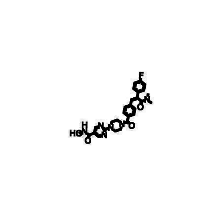 CN(C)C(=O)C(=Cc1ccc(C(=O)N2CCN(c3ncc(C(=O)NO)cn3)CC2)cc1)c1ccc(F)cc1